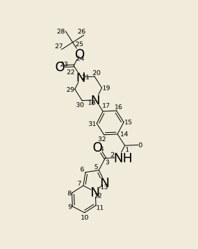 CC(NC(=O)c1cc2ccccn2n1)c1ccc(N2CCN(C(=O)OC(C)(C)C)CC2)cc1